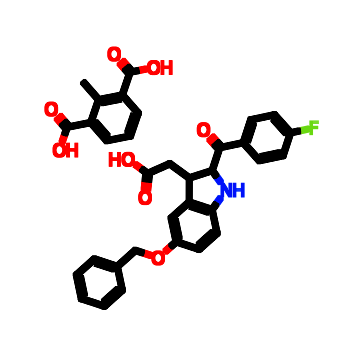 Cc1c(C(=O)O)cccc1C(=O)O.O=C(O)CC1c2cc(OCc3ccccc3)ccc2NC1C(=O)c1ccc(F)cc1